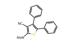 CNc1sc(-c2ccccc2)c(-c2ccccc2)c1C#N